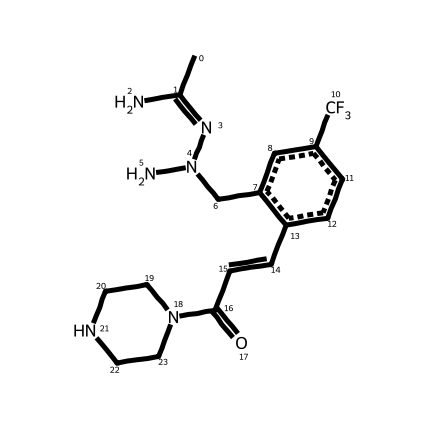 C/C(N)=N/N(N)Cc1cc(C(F)(F)F)ccc1/C=C/C(=O)N1CCNCC1